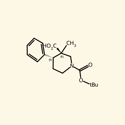 CC(C)(C)OC(=O)N1CC[C@H](c2ccccc2)[C@@](C)(C(=O)O)C1